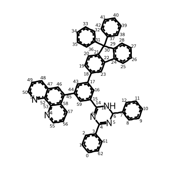 c1ccc(C2=NC(c3ccccc3)NC(c3cc(-c4ccc5c(c4)-c4ccccc4C5(c4ccccc4)c4ccccc4)cc(-c4cc5cccnc5c5ncccc45)c3)=N2)cc1